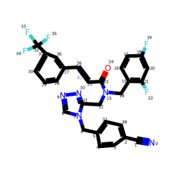 N#Cc1ccc(Cn2cnnc2CN(Cc2ccc(F)cc2F)C(=O)/C=C/c2cccc(C(F)(F)F)c2)cc1